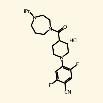 CC(C)N1CCCN(C(=O)C2CCN(c3cc(F)c(C#N)cc3F)CC2)CC1.Cl